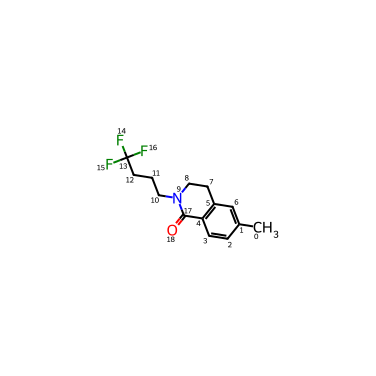 Cc1ccc2c(c1)CCN(CCCC(F)(F)F)C2=O